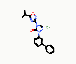 CC(C)c1nc(-n2cnn(-c3cccc(-c4ccccc4)c3)c2=O)no1.Cl